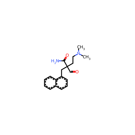 CN(C)CCC([C]=O)(Cc1cccc2ccccc12)C(N)=O